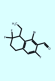 CCC1c2c(cc(F)c(C=O)c2Br)CCC1(F)F